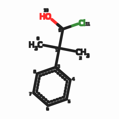 CC(C)(c1ccccc1)C(O)Cl